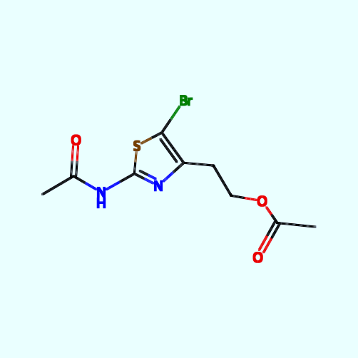 CC(=O)Nc1nc(CCOC(C)=O)c(Br)s1